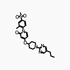 CCCc1cnc(N2CCC(Oc3ccn(-c4ccc(S(C)(=O)=O)cc4C)c(=O)c3)CC2)nc1